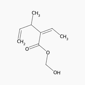 C=CC(C)C(=CC)C(=O)OCO